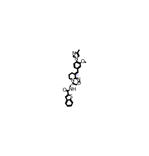 COc1cc(/C=C2\CCCN3C2=NOC[C@@H]3CNC(=O)c2cc3ccccc3s2)ccc1-n1cnc(C)c1